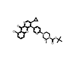 C[C@H]1CN(c2ccc(-c3c(C4CC4)cnc4c(=O)c5c(Cl)cccc5oc34)cn2)CCN1C(=O)OC(C)(C)C